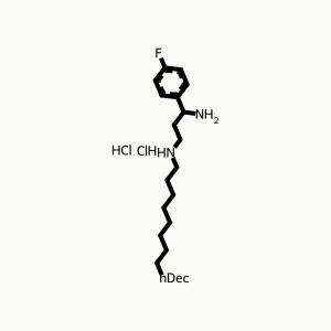 CCCCCCCCCCCCCCCCCCNCCC(N)c1ccc(F)cc1.Cl.Cl